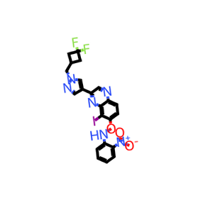 O=[N+]([O-])c1ccccc1NOc1ccc2ncc(-c3cnn(CC4CC(F)(F)C4)c3)nc2c1I